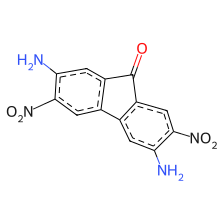 Nc1cc2c(cc1[N+](=O)[O-])C(=O)c1cc(N)c([N+](=O)[O-])cc1-2